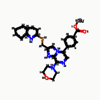 CC(C)(C)OC(=O)c1ccc(-c2cnc(N3CCOCC3)c3nc(CSc4ccc5ccccc5n4)cn23)cc1